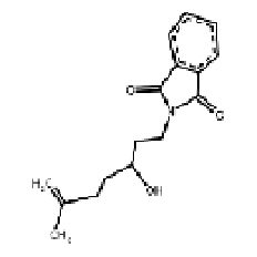 C=C(C)CCC(O)CCN1C(=O)c2ccccc2C1=O